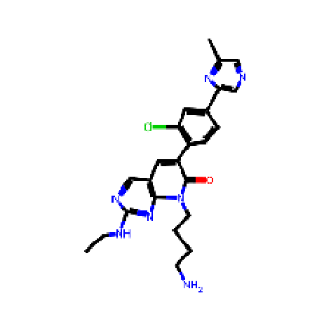 CCNc1ncc2cc(-c3ccc(-c4cncc(C)n4)cc3Cl)c(=O)n(CCCCN)c2n1